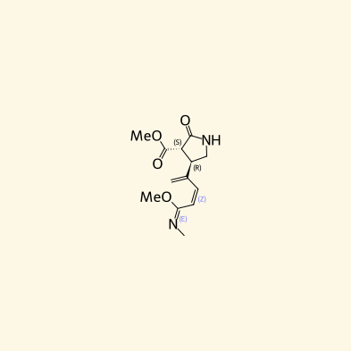 C=C(/C=C\C(=N/C)OC)[C@@H]1CNC(=O)[C@H]1C(=O)OC